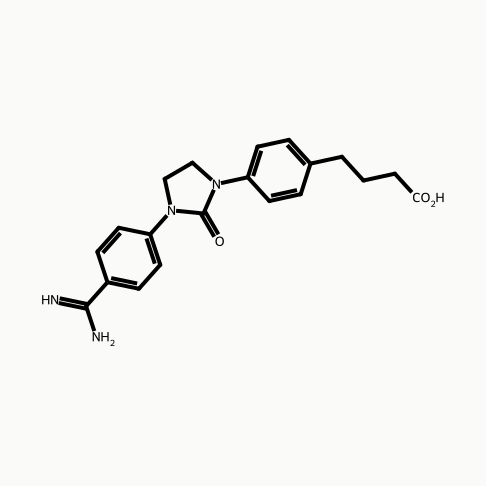 N=C(N)c1ccc(N2CCN(c3ccc(CCCC(=O)O)cc3)C2=O)cc1